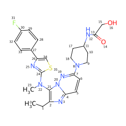 CCc1nc2ccc(N3CCC(NC(=O)CO)CC3)nn2c1N(C)c1nc(-c2ccc(F)cc2)cs1